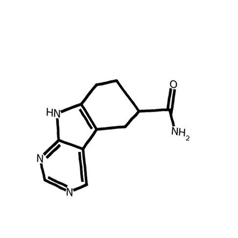 NC(=O)C1CCc2[nH]c3ncncc3c2C1